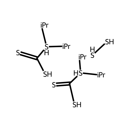 CC(C)[SH](C(=S)S)C(C)C.CC(C)[SH](C(=S)S)C(C)C.SS